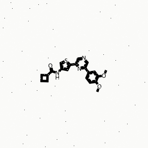 COc1ccc(-c2cncc(-c3cc(NC(=O)C4CCC4)cs3)n2)cc1OC